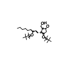 CCCCCC[C@@H](C=C[C@H]1[C@H](O[Si](C)(C)C(C)(C)C)CC(=O)[C@@H]1CO)O[Si](C)(C)C(C)(C)C